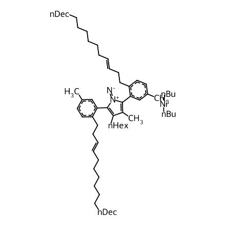 CCCCCCCCCCCCCCCCC=CCCc1ccc(C)cc1C1=C(C)C(CCCCCC)=C(c2cc(C)ccc2CCC=CCCCCCCCCCCCCCCCC)[N+]1=[N-].CCC[CH2][Ni][CH2]CCC